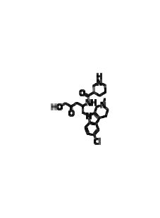 CN1CCc2c(n(CC(CC(=O)CO)NC(=O)C3CCCNC3)c3ccc(Cl)cc23)C1